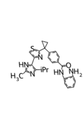 Cc1nc(C(C)C)c(-c2csc(C3(c4ccc(C(=O)Nc5ccccc5N)cc4)CC3)n2)[nH]1